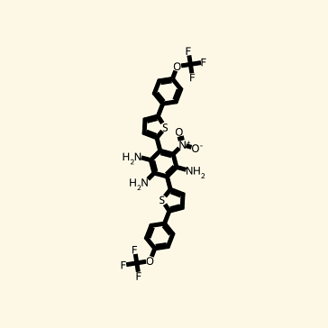 Nc1c(N)c(-c2ccc(-c3ccc(OC(F)(F)F)cc3)s2)c([N+](=O)[O-])c(N)c1-c1ccc(-c2ccc(OC(F)(F)F)cc2)s1